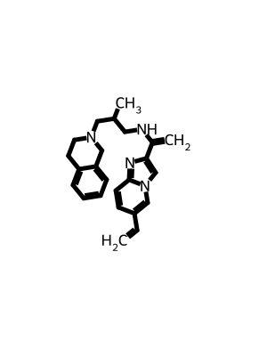 C=Cc1ccc2nc(C(=C)NCC(C)CN3CCc4ccccc4C3)cn2c1